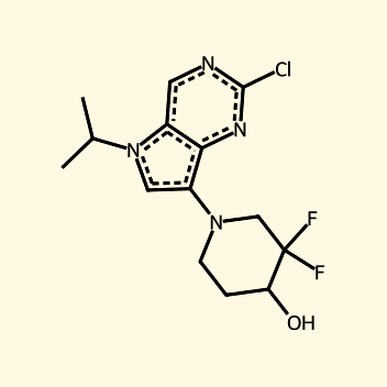 CC(C)n1cc(N2CCC(O)C(F)(F)C2)c2nc(Cl)ncc21